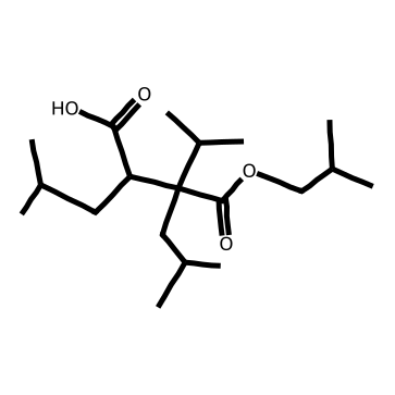 CC(C)COC(=O)C(CC(C)C)(C(C)C)C(CC(C)C)C(=O)O